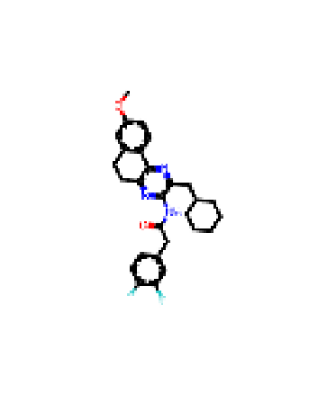 COc1ccc2c(c1)CCc1nc(NC(=O)Cc3ccc(F)c(F)c3)c(CC3CCCCC3)nc1-2